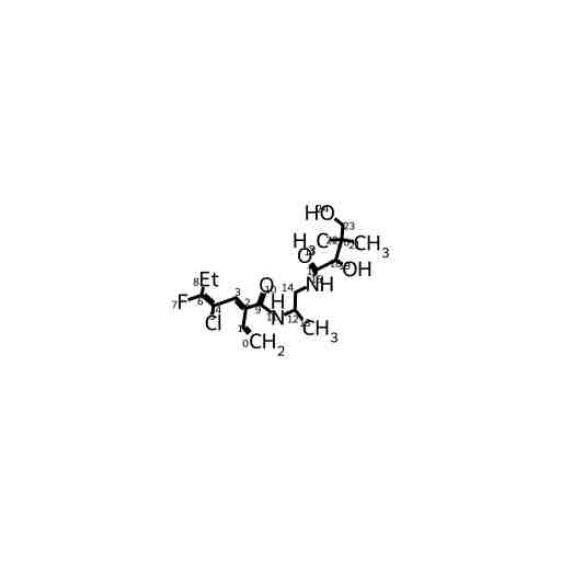 C=C/C(=C\C(Cl)=C(\F)CC)C(=O)NC(C)CNC(=O)C(O)C(C)(C)CO